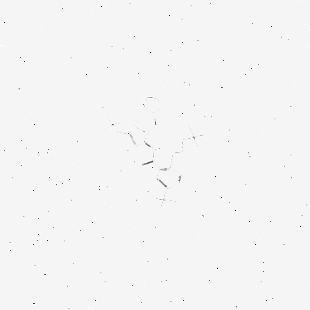 CC(C)(C)Cc1cc(=NC(=O)c2cc(C(F)(F)F)ccc2OCCC(C)(C)F)n(C[C@H]2CCCO2)[nH]1